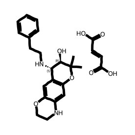 CC1(C)Oc2cc3c(cc2[C@H](NCCc2ccccc2)[C@H]1O)OCCN3.O=C(O)C=CC(=O)O